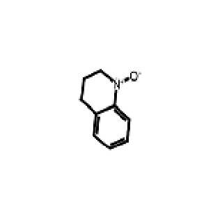 [O-][N+]1CCCc2ccccc21